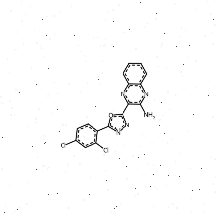 Nc1nc2ccccc2nc1-c1nnc(-c2ccc(Cl)cc2Cl)o1